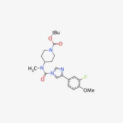 COc1ccc(-c2cn(C(=O)N(C)C3CCN(C(=O)OC(C)(C)C)CC3)cn2)cc1F